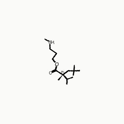 CNCCCOC(=O)[C@](C)(CC(C)(C)C)C(C)C